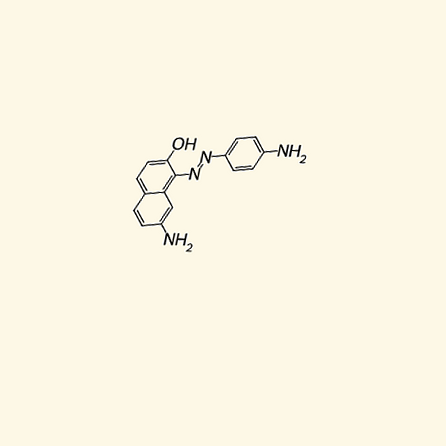 Nc1ccc(/N=N/c2c(O)ccc3ccc(N)cc23)cc1